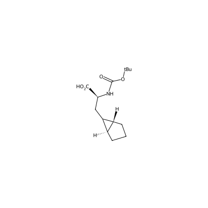 CC(C)(C)OC(=O)N[C@@H](CC1[C@@H]2CCC[C@@H]12)C(=O)O